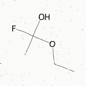 CCOC(C)(O)F